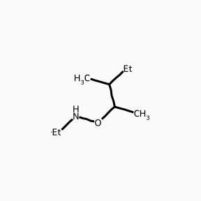 C[CH]NOC(C)C(C)CC